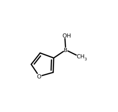 CB(O)c1ccoc1